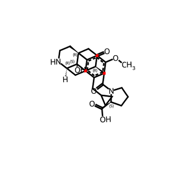 COc1cc(CC2CC2)c2c(c1)[C@]13CCN[C@H](C2)[C@]1(O)C[C@H](CC(=O)N1CCC[C@H]1C(=O)O)C(=O)C3